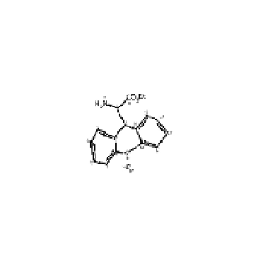 CCOC(=O)C(N)C1c2ccccc2Sc2ccccc21.Cl